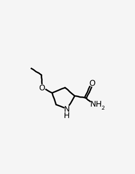 CCOC1CNC(C(N)=O)C1